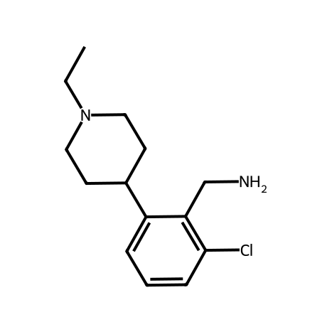 CCN1CCC(c2cccc(Cl)c2CN)CC1